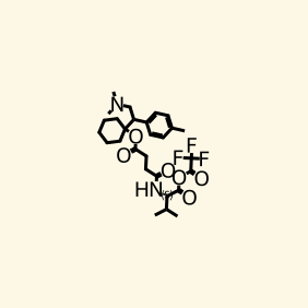 Cc1ccc(C(CN(C)C)C2(OC(=O)CCC(=O)N[C@H](C(=O)OC(=O)C(F)(F)F)C(C)C)CCCCC2)cc1